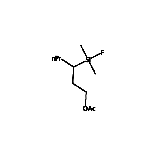 CCCC(CCOC(C)=O)[Si](C)(C)F